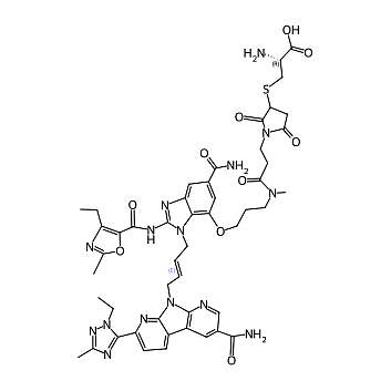 CCc1nc(C)oc1C(=O)Nc1nc2cc(C(N)=O)cc(OCCCN(C)C(=O)CCN3C(=O)CC(SC[C@H](N)C(=O)O)C3=O)c2n1C/C=C/Cn1c2ncc(C(N)=O)cc2c2ccc(-c3nc(C)nn3CC)nc21